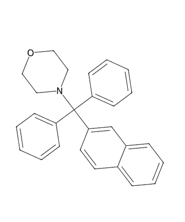 c1ccc(C(c2ccccc2)(c2ccc3ccccc3c2)N2CCOCC2)cc1